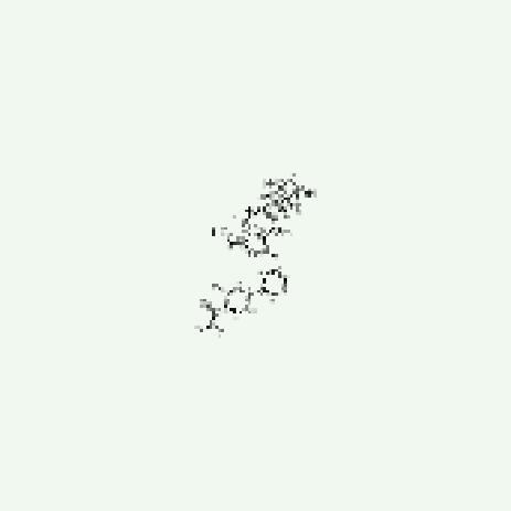 Cc1cc(-c2cccc(CN3O[C@@H](CO)[C@@H]([C@H](C)O)[C@H]3C(=O)N[C@H]3C[C@H]4C[C@@H]([C@@H]3C)C4(C)C)c2)ccc1C(=O)N(C)C